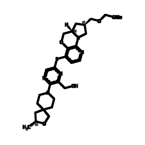 COCOC[C@H]1C[C@@H]2COc3c(Sc4cnc(N5CCC6(CC5)CO[C@@H](C)C6)c(CO)n4)ccnc3N2C1